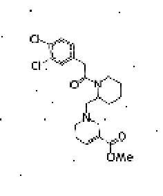 COC(=O)C1=CCCN(CC2CCCCN2C(=O)Cc2ccc(Cl)c(Cl)c2)C1